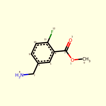 COC(=O)c1cc(CN)ccc1F